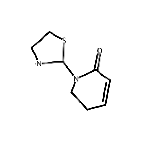 O=C1C=CCCN1C1[N]CCS1